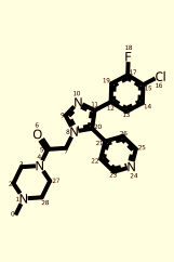 CN1CCN(C(=O)Cn2cnc(-c3ccc(Cl)c(F)c3)c2-c2ccncc2)CC1